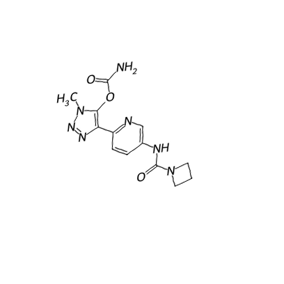 Cn1nnc(-c2ccc(NC(=O)N3CCC3)cn2)c1OC(N)=O